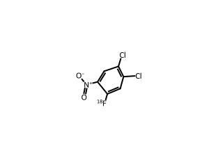 O=[N+]([O-])c1cc(Cl)c(Cl)cc1[18F]